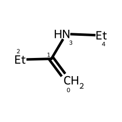 C=C(CC)NCC